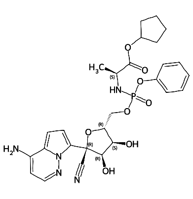 C[C@H](NP(=O)(OC[C@H]1O[C@@](C#N)(c2ccc3c(N)ccnn23)[C@H](O)[C@@H]1O)Oc1ccccc1)C(=O)OC1CCCC1